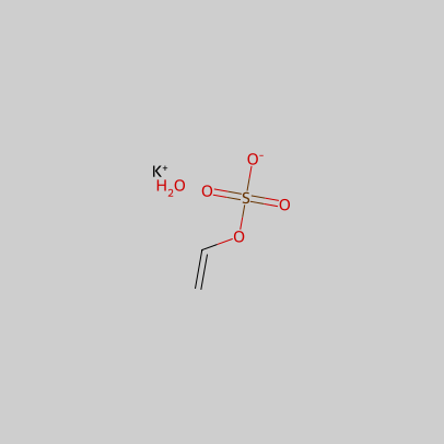 C=COS(=O)(=O)[O-].O.[K+]